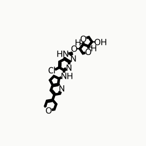 O[C@@H]1CO[C@H]2[C@@H]1OC[C@H]2Oc1nc2nc(NC3CCc4cc(C5=CCOCC5)cnc43)c(Cl)cc2[nH]1